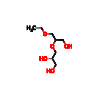 CCOCC(CO)OCC(O)CO